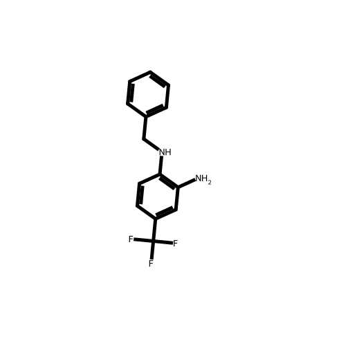 Nc1cc(C(F)(F)F)ccc1NCc1ccccc1